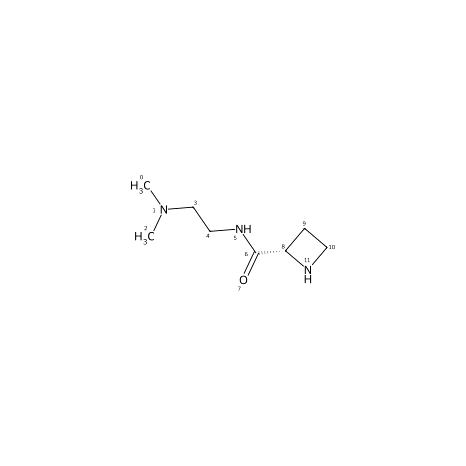 CN(C)CCNC(=O)[C@@H]1CCN1